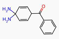 NC1(N)C=CC(C(=O)c2ccccc2)C=C1